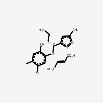 Cc1cc([C@@H](CCN)Oc2cc(Cl)c(F)cc2C#N)no1.O=C(O)/C=C/C(=O)O